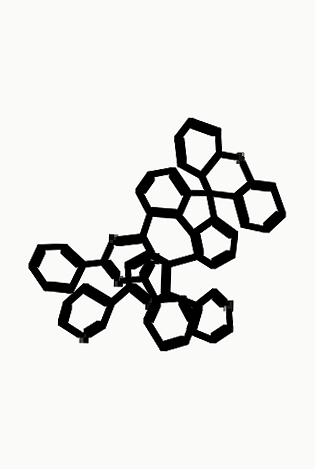 C1=CC2Sc3ccccc3C3(c4cccc(-c5nc(-c6ccccc6)nc(-c6ccccc6)n5)c4-c4c(-c5ccc(-c6cccnc6)nc5-c5cccnc5)cccc43)C2C=C1